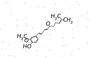 COc1cc(C=CC=CC(=O)CCC=C(C)C)ccc1O